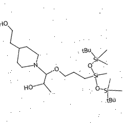 CC(O)C(OCCC[Si](C)(O[Si](C)(C)C(C)(C)C)O[Si](C)(C)C(C)(C)C)N1CCC(CCO)CC1